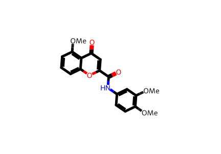 COc1ccc(NC(=O)c2cc(=O)c3c(OC)cccc3o2)cc1OC